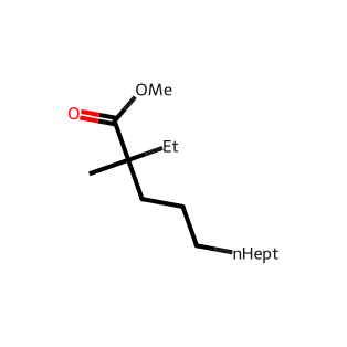 CCCCCCCCCCC(C)(CC)C(=O)OC